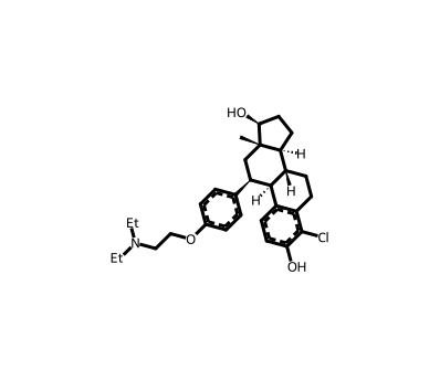 CCN(CC)CCOc1ccc([C@H]2C[C@]3(C)[C@@H](O)CC[C@H]3[C@@H]3CCc4c(ccc(O)c4Cl)[C@H]32)cc1